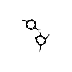 Cc1ccc(Oc2ccc(F)cc2F)cc1